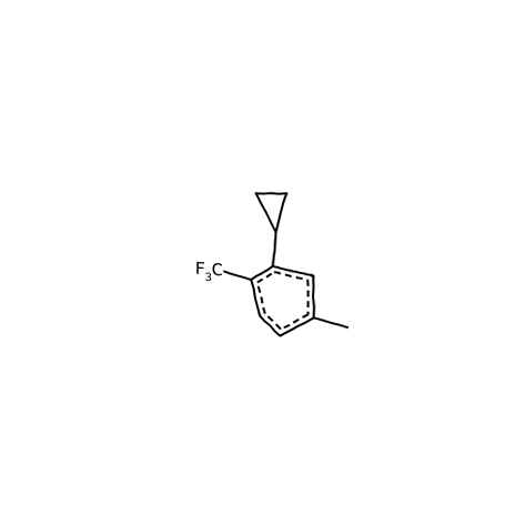 Cc1ccc(C(F)(F)F)c(C2CC2)c1